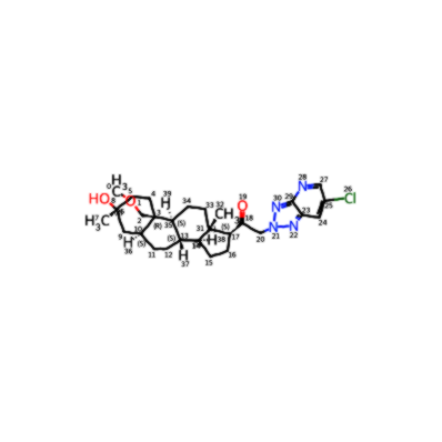 COC[C@]12CC[C@@](C)(O)C[C@@H]1CC[C@H]1[C@@H]3CC[C@H](C(=O)Cn4nc5cc(Cl)cnc5n4)[C@@]3(C)CC[C@@H]12